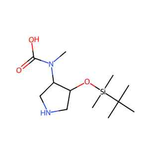 CN(C(=O)O)C1CNCC1O[Si](C)(C)C(C)(C)C